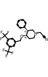 N#CCN1CC[C@@H](OCc2cc(C(F)(F)F)cc(C(F)(F)F)c2)[C@@H](c2ccccc2)C1